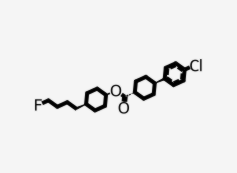 O=C(O[C@H]1CC[C@H](CCCCF)CC1)[C@H]1CC[C@H](c2ccc(Cl)cc2)CC1